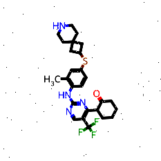 Cc1cc(SC2CC3(CCNCC3)C2)ccc1Nc1ncc(C(F)(F)F)c(C2CCCCC2=O)n1